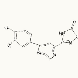 O=c1[nH]c(-c2cc(-c3ccc(Cl)c(Cl)c3)ncn2)no1